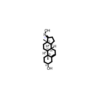 C[C@]12CC[C@H](O)CC1=CC[C@@H]1[C@@H]2CC[C@]2(C)/C(=N/O)CC[C@@H]12